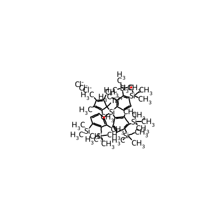 CC1=C(C)[C]([Ti+3])([Si](c2ccc([Si](C)(C)C)c([Si](C)(C)C)c2C)(c2ccc([Si](C)(C)C)c([Si](C)(C)C)c2C)c2ccc([Si](C)(C)C)c([Si](C)(C)C)c2C)C(C)=C1C.[Cl-].[Cl-].[Cl-]